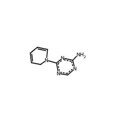 Nc1ncnc(N2C=CC=CC2)n1